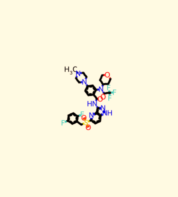 CN1CCN(c2ccc(C(=O)Nc3n[nH]c4ccc(S(=O)(=O)Cc5cc(F)ccc5F)nc34)c(N(C(=O)C(F)(F)F)C3CCOCC3)c2)CC1